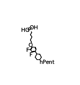 CCCCCC1CCC(c2ccc(OCCCCCP(O)O)c(F)c2F)CC1